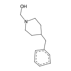 OCN1CCC(Cc2ccccc2)CC1